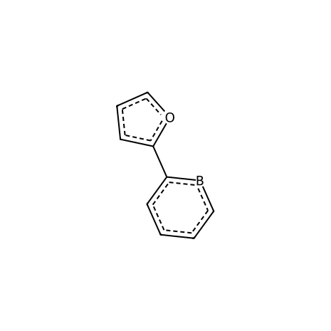 b1ccccc1-c1ccco1